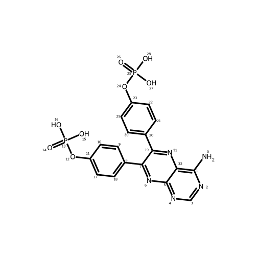 Nc1ncnc2nc(-c3ccc(OP(=O)(O)O)cc3)c(-c3ccc(OP(=O)(O)O)cc3)nc12